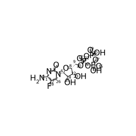 Nc1nc(=O)n([C@@H]2O[C@H](COP3(=O)OP(=O)(O)OP(=O)(O)O3)[C@H](O)[C@@H]2O)cc1F